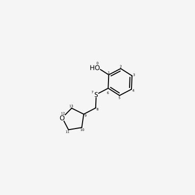 Oc1ccccc1SCC1CCOC1